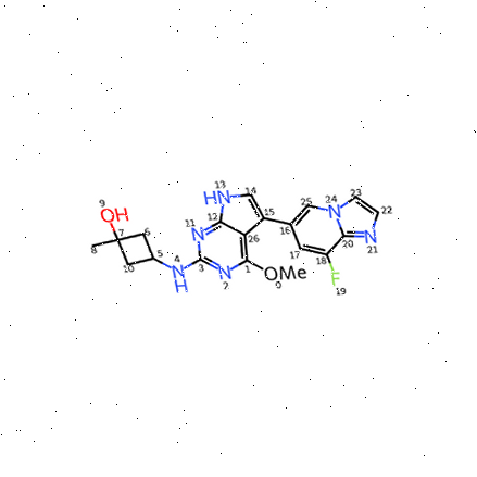 COc1nc(NC2CC(C)(O)C2)nc2[nH]cc(-c3cc(F)c4nccn4c3)c12